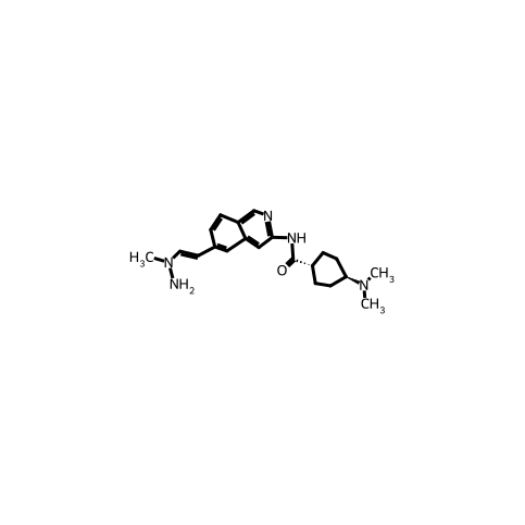 CN(N)/C=C/c1ccc2cnc(NC(=O)[C@H]3CC[C@H](N(C)C)CC3)cc2c1